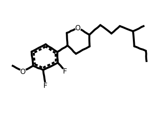 CCCC(C)CCCC1CCC(c2ccc(OC)c(F)c2F)CO1